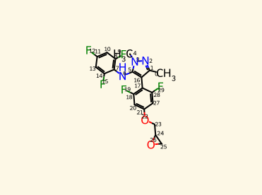 Cc1nn(C)c(Nc2c(F)cc(F)cc2F)c1-c1c(F)cc(OCC2CO2)cc1F